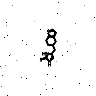 S=c1[nH]cc(CC2CCc3sccc3C2)[nH]1